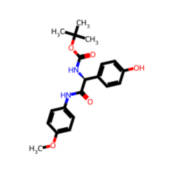 COc1ccc(NC(=O)[C@@H](NC(=O)OC(C)(C)C)c2ccc(O)cc2)cc1